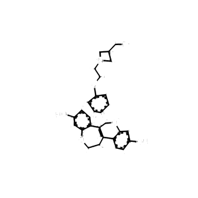 Oc1ccc2c(c1)O[C@@H](c1ccc(OCCN3CC(CF)C3)cc1)C1=C2CCOc2cc(O)ccc21